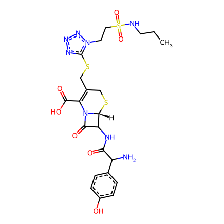 CCCNS(=O)(=O)CCn1nnnc1SCC1=C(C(=O)O)N2C(=O)C(NC(=O)C(N)c3ccc(O)cc3)[C@H]2SC1